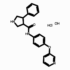 Cl.Cl.O=C(Nc1ccc(Oc2cccnc2)cc1)C1CNCC1c1ccccc1